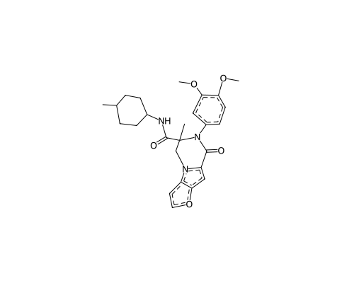 COc1ccc(N2C(=O)c3cc4occc4n3CC2(C)C(=O)NC2CCC(C)CC2)cc1OC